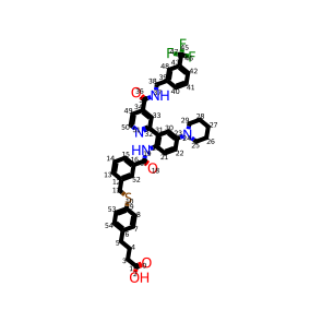 O=C(O)CCCc1ccc(SCc2cccc(C(=O)Nc3ccc(N4CCCCC4)cc3-c3cc(C(=O)NCc4cccc(C(F)(F)F)c4)ccn3)c2)cc1